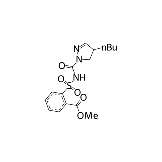 CCCCC1C=NN(C(=O)NS(=O)(=O)c2ccccc2C(=O)OC)C1